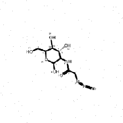 [N-]=[N+]=NCC(=O)NC1C(O)OC(CO)[C@@H](O)[C@@H]1O